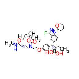 CC/C(B(O)O)=C(/c1ccc(OCCN(C/C=C/C(=O)NC)C(=O)OC(C)(C)C)cc1)c1ccc2c(c1)c(F)nn2C1CCCCO1